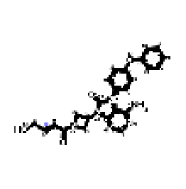 Nc1ncnc2c1n(-c1ccc(Oc3ccccc3)cc1)c(=O)n2C1CN(C(=O)/C=C/CO)C1